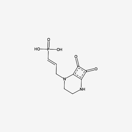 O=c1c2c(c1=O)N(C/C=C/P(=O)(O)O)CCN2